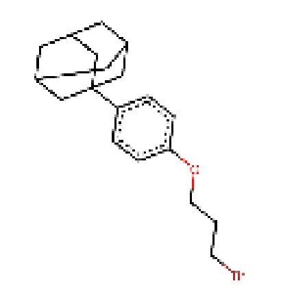 BrCCCOc1ccc(C23CC4CC(CC(C4)C2)C3)cc1